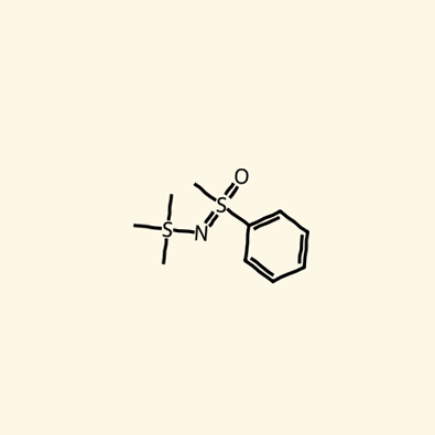 CS(C)(C)N=S(C)(=O)c1ccccc1